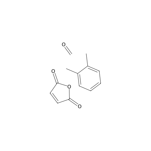 C=O.Cc1ccccc1C.O=C1C=CC(=O)O1